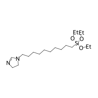 CCO[Si](CCCCCCCCCCN1C=NCC1)(OCC)OCC